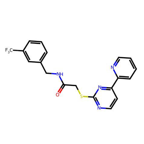 O=C(CSc1nccc(-c2ccccn2)n1)NCc1cccc(C(F)(F)F)c1